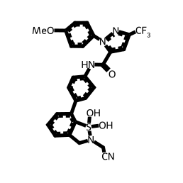 COc1ccc(-n2nc(C(F)(F)F)cc2C(=O)Nc2ccc(-c3cccc4c3S(O)(O)N(CC#N)C4)cc2)cc1